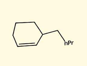 [CH2]CCCC1C=CCCC1